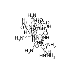 C[C@@H](O)[C@H](NC(=O)[C@H](CCCCN)NC(=O)[C@H](CCC(N)=O)NC(=O)[C@H](CCCCN)NC(=O)[C@H](Cc1c[nH]c2ccccc12)NC(=O)[C@H](CCCCN)NC(=O)[C@H](CCCNC(=N)N)NC(=O)CN)C(=O)N[C@@H](CO)C(=O)O